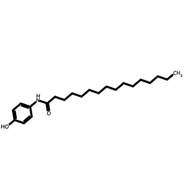 CCCCCCCCCCCCCCCC(=O)Nc1ccc(O)cc1